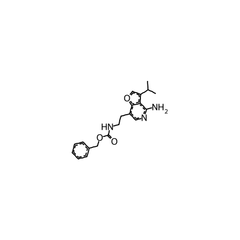 CC(C)c1coc2c(CCNC(=O)OCc3ccccc3)cnc(N)c12